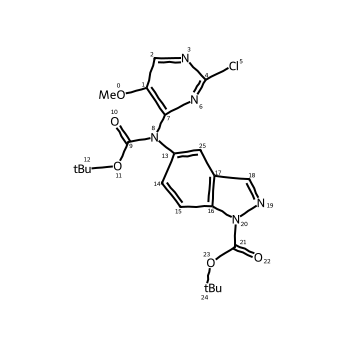 COc1cnc(Cl)nc1N(C(=O)OC(C)(C)C)c1ccc2c(cnn2C(=O)OC(C)(C)C)c1